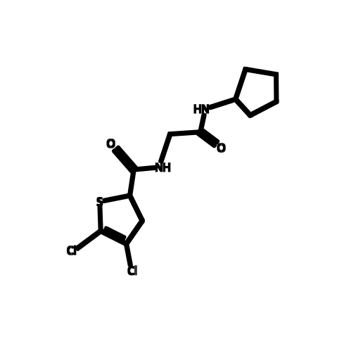 O=C(CNC(=O)C1CC(Cl)=C(Cl)S1)NC1CCCC1